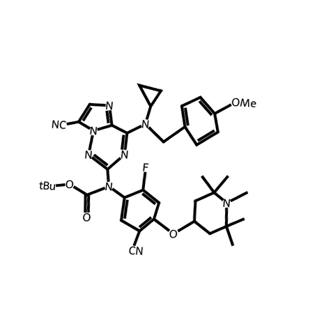 COc1ccc(CN(c2nc(N(C(=O)OC(C)(C)C)c3cc(C#N)c(OC4CC(C)(C)N(C)C(C)(C)C4)cc3F)nn3c(C#N)cnc23)C2CC2)cc1